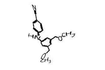 COCc1cc(COC)cc(Nc2ccc(C#N)cc2)c1